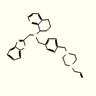 C=CCN1CCN(Cc2ccc(CN(Cc3nc4ccccc4[nH]3)C3CCCc4cccnc43)cc2)CC1